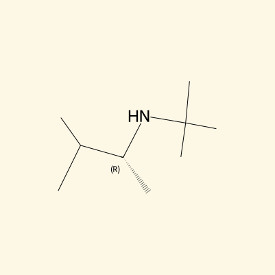 CC(C)[C@@H](C)NC(C)(C)C